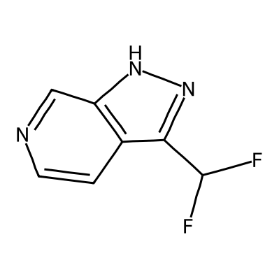 FC(F)c1n[nH]c2cnccc12